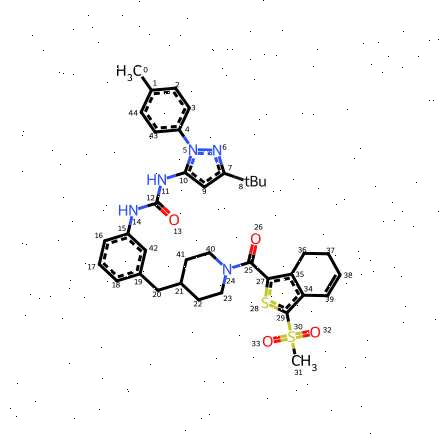 Cc1ccc(-n2nc(C(C)(C)C)cc2NC(=O)Nc2cccc(CC3CCN(C(=O)c4sc(S(C)(=O)=O)c5c4CCC=C5)CC3)c2)cc1